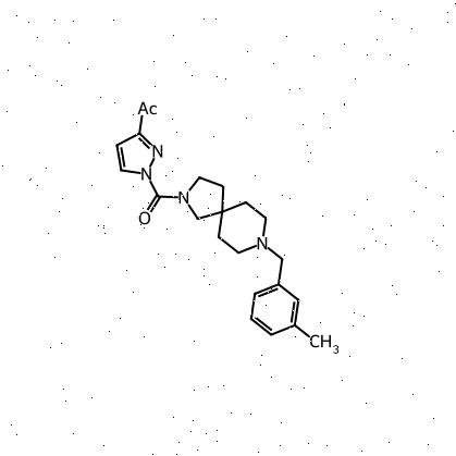 CC(=O)c1ccn(C(=O)N2CCC3(CCN(Cc4cccc(C)c4)CC3)C2)n1